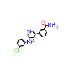 NC(=O)c1cccc(-c2cncc(Nc3cccc(Cl)c3)c2)c1